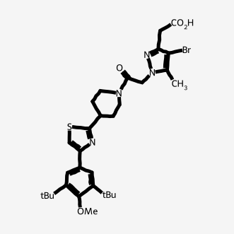 COc1c(C(C)(C)C)cc(-c2csc(C3CCN(C(=O)Cn4nc(CC(=O)O)c(Br)c4C)CC3)n2)cc1C(C)(C)C